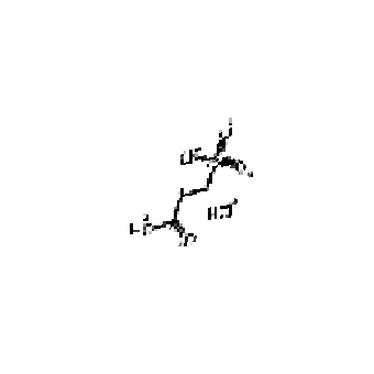 Cl.O=C(O)CCS(=O)(=O)Cl